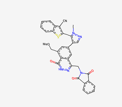 COCc1cc(-c2cnn(C)c2-c2sc3ccccc3c2C#N)cc2c(CN3C(=O)c4ccccc4C3=O)n[nH]c(=O)c12